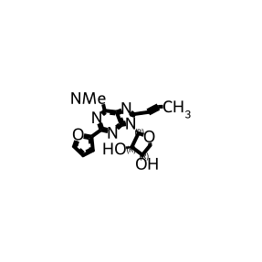 CC#Cc1nc2c(NC)nc(-c3ccco3)nc2n1[C@@H]1OC[C@@H](O)[C@H]1O